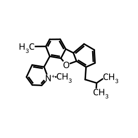 Cc1ccc2c(oc3c(CC(C)C)cccc32)c1-c1cccc[n+]1C